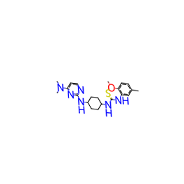 COc1ccc(C)cc1NC(=S)NC1CCC(Nc2nccc(N(C)C)n2)CC1